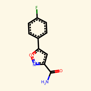 NC(=O)c1cc(-c2ccc(F)cc2)on1